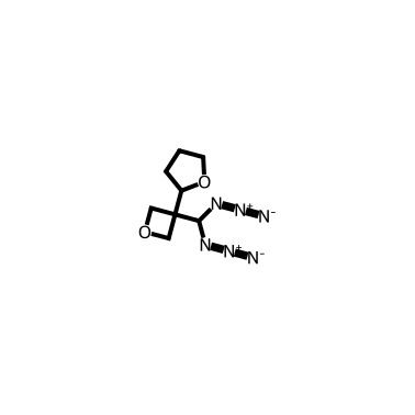 [N-]=[N+]=NC(N=[N+]=[N-])C1(C2CCCO2)COC1